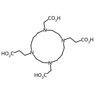 O=C(O)CCN1CCCN(CC(=O)O)CCN(CCC(=O)O)CCCN(CC(=O)O)CC1